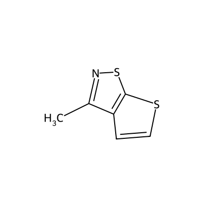 Cc1nsc2sccc12